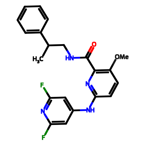 COc1ccc(Nc2cc(F)nc(F)c2)nc1C(=O)NCC(C)c1ccccc1